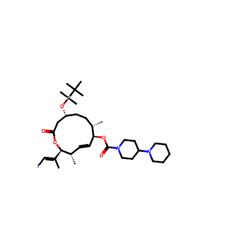 C/C(=C\I)[C@H]1OC(=O)C[C@H](O[Si](C)(C)C(C)(C)C)CC[C@H](C)[C@@H](OC(=O)N2CCC(N3CCCCC3)CC2)/C=C/[C@@H]1C